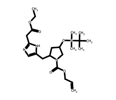 C=CCOC(=O)N1CC(O[Si](C)(C)C(C)(C)C)CC1Cc1cnc(CC(=O)OCC)[nH]1